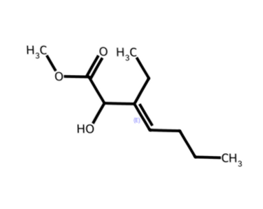 CCC/C=C(\CC)C(O)C(=O)OC